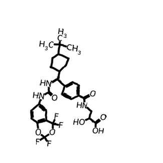 CC(C)(C)C1CCC(C(NC(=O)Nc2ccc3c(c2)C(F)(F)OC(F)(F)O3)c2ccc(C(=O)NCC(O)C(=O)O)cc2)CC1